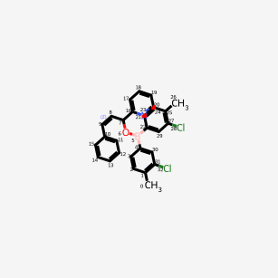 Cc1ccc(B(OC(/C=C\c2ccccc2)c2ccccn2)c2ccc(C)c(Cl)c2)cc1Cl